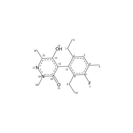 CCc1cc(C)c(F)c(CC)c1-c1c(O)c(C)nn(C)c1=O